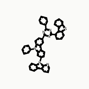 c1ccc(-c2nc(-c3ccc4c(c3)c3ccc(-n5c6ccccc6c6cccnc65)cc3n4-c3ccccc3)nc(-c3cccc4sc5ccccc5c34)n2)cc1